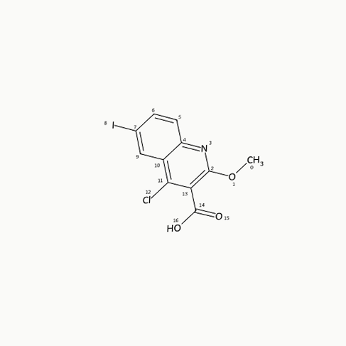 COc1nc2ccc(I)cc2c(Cl)c1C(=O)O